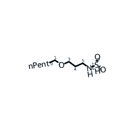 CCCCCCOCCCN[SH](=O)=O